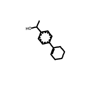 CC(O)c1ccc(C2=CCCCC2)cc1